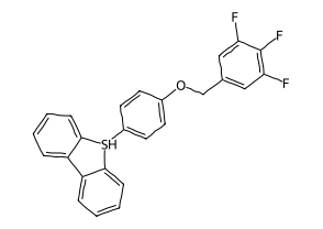 Fc1cc(COc2ccc([SH]3c4ccccc4-c4ccccc43)cc2)cc(F)c1F